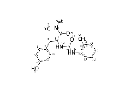 CCN(C#N)C(=O)C(Cc1ccc(O)cc1)NC(=O)Nc1ccccc1C